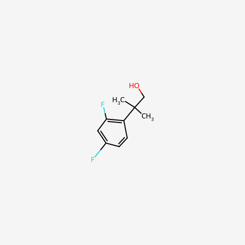 CC(C)(CO)c1ccc(F)cc1F